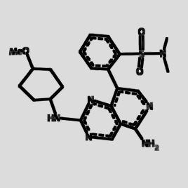 COC1CCC(Nc2ncc3c(N)ncc(-c4ccccc4S(=O)(=O)N(C)C)c3n2)CC1